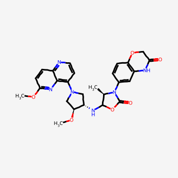 COc1ccc2nccc(N3C[C@H](NC4OC(=O)N(c5ccc6c(c5)NC(=O)CO6)[C@@H]4C)[C@@H](OC)C3)c2n1